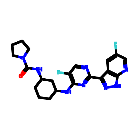 O=C(N[C@@H]1CCC[C@H](Nc2nc(-c3n[nH]c4ncc(F)cc34)ncc2F)C1)N1CCCC1